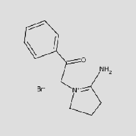 NC1=[N+](CC(=O)c2ccccc2)CCC1.[Br-]